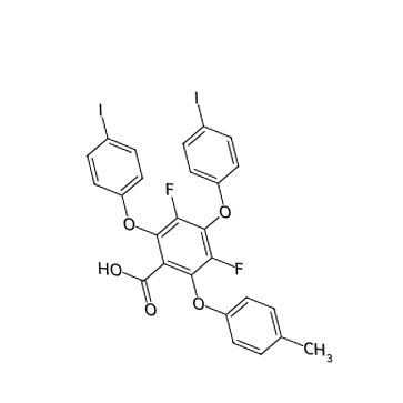 Cc1ccc(Oc2c(F)c(Oc3ccc(I)cc3)c(F)c(Oc3ccc(I)cc3)c2C(=O)O)cc1